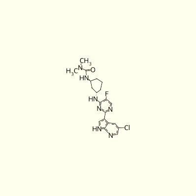 CN(C)C(=O)N[C@H]1CCC[C@H](Nc2nc(-c3c[nH]c4ncc(Cl)cc34)ncc2F)C1